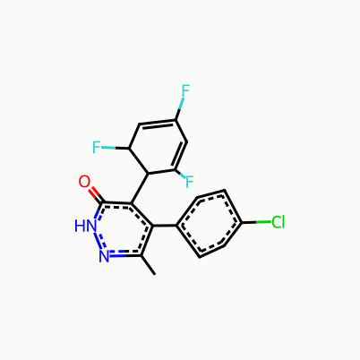 Cc1n[nH]c(=O)c(C2C(F)=CC(F)=CC2F)c1-c1ccc(Cl)cc1